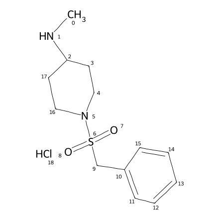 CNC1CCN(S(=O)(=O)Cc2ccccc2)CC1.Cl